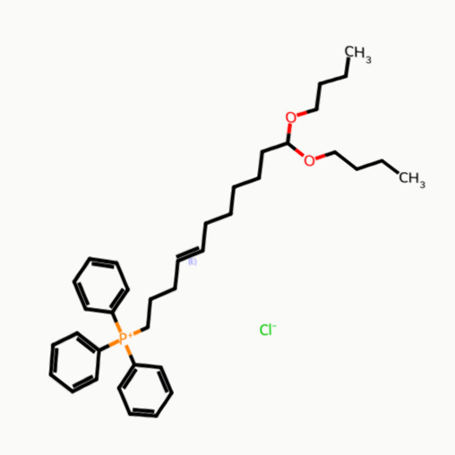 CCCCOC(CCCCC/C=C/CCC[P+](c1ccccc1)(c1ccccc1)c1ccccc1)OCCCC.[Cl-]